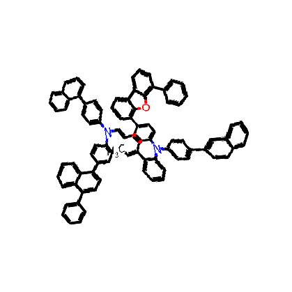 C\C=C(/C=C\C=C\N(c1ccc(-c2cccc3ccccc23)cc1)c1ccc(-c2ccc(-c3ccccc3)c3ccccc23)cc1)c1ccccc1N(c1ccc(-c2ccc3ccccc3c2)cc1)c1ccc(-c2cccc3c2oc2c(-c4ccccc4)cccc23)cc1